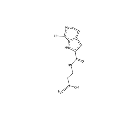 C=C(O)CCNC(=O)c1cc2ccnc(Cl)c2[nH]1